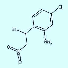 [CH2]CC(C[SH](=O)=O)c1ccc(Cl)cc1N